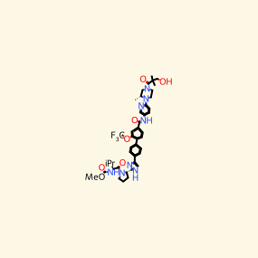 COC(=O)N[C@H](C(=O)N1CCC[C@H]1c1nc(-c2ccc(-c3ccc(C(=O)Nc4ccc(N5CCN(C(=O)C(C)(C)CO)C[C@H]5C)nc4)cc3OC(F)(F)F)cc2)c[nH]1)C(C)C